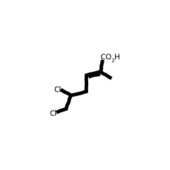 C/C(=C\CC(Cl)CCl)C(=O)O